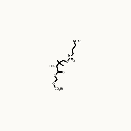 CCOC(=O)OCOC(=O)[C@H](O)C(C)(C)COS(=O)(=O)CCCNC(C)=O